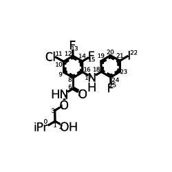 CC(C)C(O)CONC(=O)c1cc(Cl)c(F)c(F)c1Nc1ccc(I)cc1F